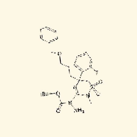 CN1C(N(N)C(=O)OC(C)(C)C)=NC(CCCOCc2ccccc2)(c2ccccc2F)CS1(=O)=O